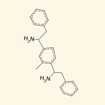 Cc1cc(C(N)Cc2ccccc2)ccc1C(N)Cc1ccccc1